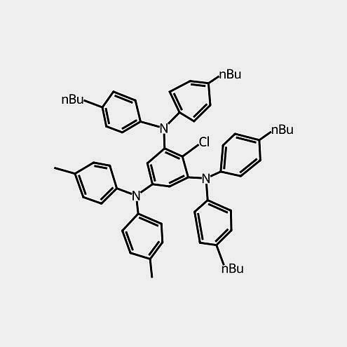 CCCCc1ccc(N(c2ccc(CCCC)cc2)c2cc(N(c3ccc(C)cc3)c3ccc(C)cc3)cc(N(c3ccc(CCCC)cc3)c3ccc(CCCC)cc3)c2Cl)cc1